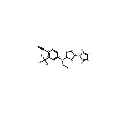 CCN(c1ccc(C#N)c(C(F)(F)F)c1)C1CCC(n2nccn2)C1